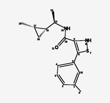 Cc1cccc(-c2s[nH]c2C(=O)N[C@H](C)[C@@H]2C[C@@H]2C)c1